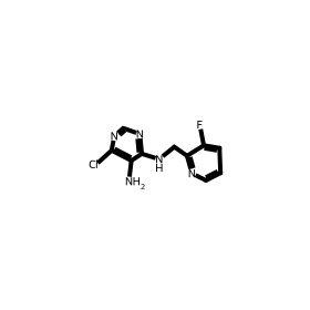 Nc1c(Cl)ncnc1NCc1ncccc1F